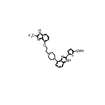 CSc1ccc(-c2nc3c(N4CCN(CCOc5cccc6[nH]c(C(F)(F)F)nc56)CC4)cccc3[nH]2)s1